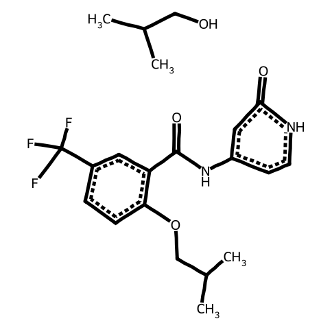 CC(C)CO.CC(C)COc1ccc(C(F)(F)F)cc1C(=O)Nc1cc[nH]c(=O)c1